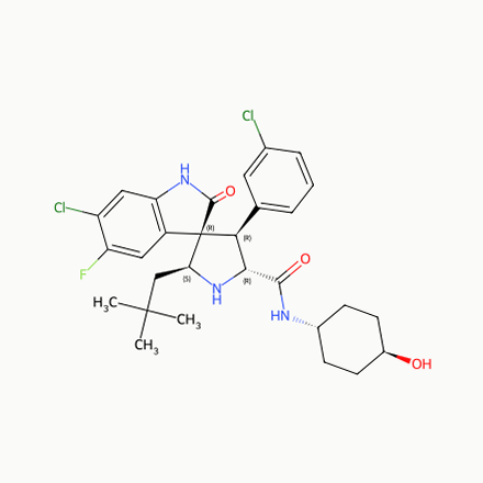 CC(C)(C)C[C@@H]1N[C@@H](C(=O)N[C@H]2CC[C@H](O)CC2)[C@H](c2cccc(Cl)c2)[C@]12C(=O)Nc1cc(Cl)c(F)cc12